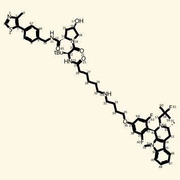 Cc1ncsc1-c1ccc(CNC(=O)[C@@H]2C[C@@H](O)CN2C(=O)[C@@H](NC(=O)CCCCCNCCCCOc2cc(F)c([C@@H]3c4c(c5ccccc5n4C)C[C@@H](C)N3CC(C)(C)F)c(F)c2)C(C)(C)C)cc1